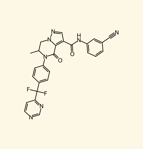 CC1Cn2ncc(C(=O)Nc3cccc(C#N)c3)c2C(=O)N1c1ccc(C(F)(F)c2ccncn2)cc1